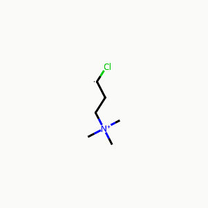 C[N+](C)(C)CC[CH]Cl